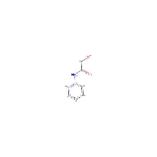 [O]CC(=O)Nc1ccccn1